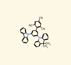 CC1(C)c2ccccc2N(c2cc(-c3c(C#N)cc(C#N)cc3C#N)cc(-n3c4ccccc4c4ccccc43)c2)c2ccccc21